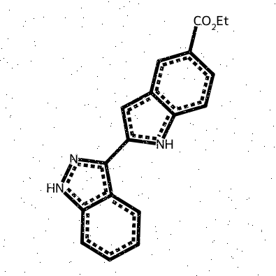 CCOC(=O)c1ccc2[nH]c(-c3n[nH]c4ccccc34)cc2c1